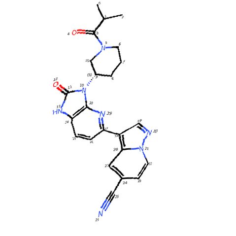 CC(C)C(=O)N1CCC[C@H](n2c(=O)[nH]c3ccc(-c4cnn5ccc(C#N)cc45)nc32)C1